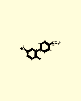 Cc1ccc(O)cc1-c1ccc(C(=O)O)cc1